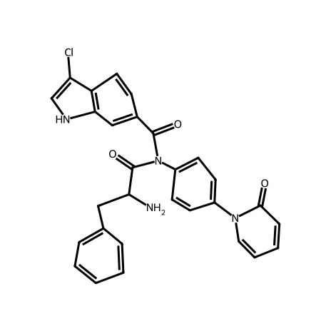 NC(Cc1ccccc1)C(=O)N(C(=O)c1ccc2c(Cl)c[nH]c2c1)c1ccc(-n2ccccc2=O)cc1